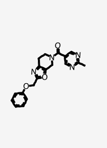 Cc1ncc(C(=O)N2CCc3nc(COc4ccccc4)oc3C2)cn1